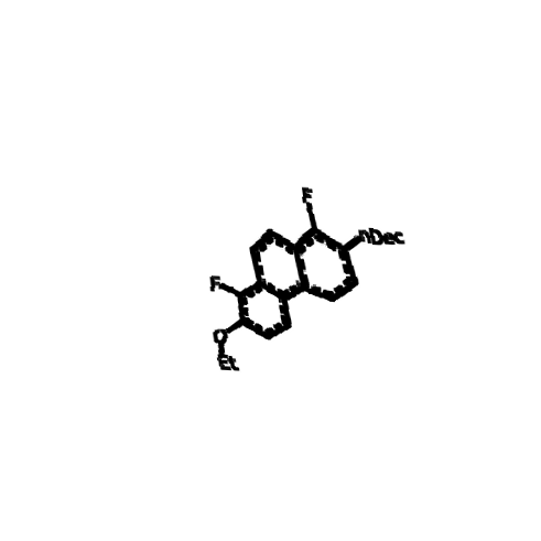 CCCCCCCCCCc1ccc2c(ccc3c(F)c(OCC)ccc32)c1F